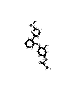 CNc1ncnc(-c2cccnc2Oc2ccc(NC(N)=O)cc2C)n1